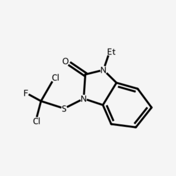 CCn1c(=O)n(SC(F)(Cl)Cl)c2ccccc21